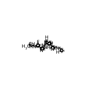 CN(C)CCNc1cc(F)cc(-c2cncc3[nH]c(-c4n[nH]c5cnc(-c6cncc(CNCC7CCCC7)c6)cc45)nc23)c1